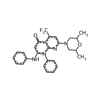 CC1CN(c2cc(C(F)(F)F)c3c(=O)cc(Nc4ccccc4)n(-c4ccccc4)c3n2)CC(C)O1